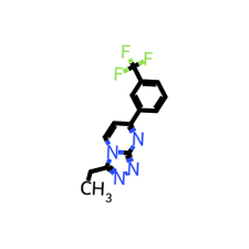 CCc1nnc2nc(-c3cccc(C(F)(F)F)c3)ccn12